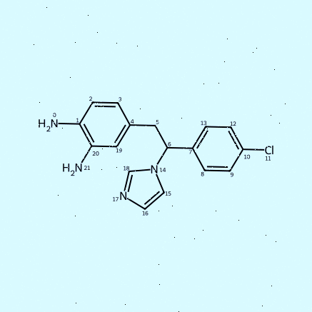 Nc1ccc(CC(c2ccc(Cl)cc2)n2ccnc2)cc1N